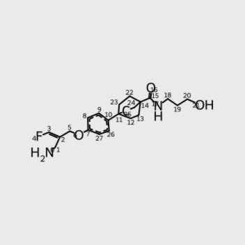 NC/C(=C\F)COc1ccc(C23CCC(C(=O)NCCCO)(CC2)CC3)cc1